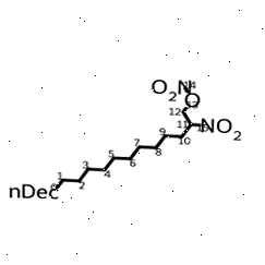 CCCCCCCCCCCCCCCCCCCCC(CO[N+](=O)[O-])[N+](=O)[O-]